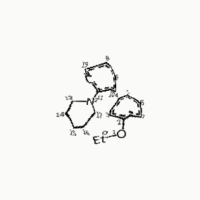 CCOc1ccccc1.c1ccc(N2CCCCC2)cc1